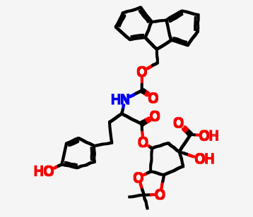 CC1(C)OC2CC(O)(C(=O)O)CC(OC(=O)C(CCc3ccc(O)cc3)NC(=O)OCC3c4ccccc4-c4ccccc43)C2O1